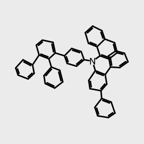 c1ccc(-c2ccc(N(c3ccc(-c4cccc(-c5ccccc5)c4-c4ccccc4)cc3)c3cccc4ccccc34)c(-c3ccccc3)c2)cc1